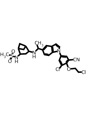 CC(NC1CC(NS(C)(=O)=O)C2CC1C2)c1ccc2c(ccn2-c2cc(Cl)c(OCCCl)c(C#N)c2)c1